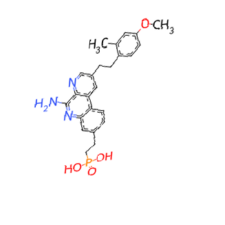 COc1ccc(CCc2cnc3c(N)nc4cc(CCP(=O)(O)O)ccc4c3c2)c(C)c1